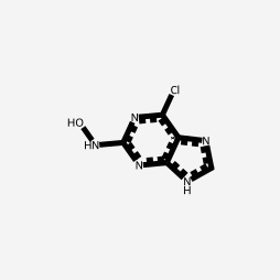 ONc1nc(Cl)c2nc[nH]c2n1